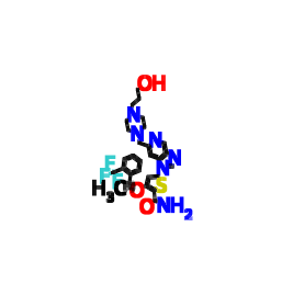 C[C@@H](Oc1cc(-n2cnc3cnc(CN4CCN(CCCO)CC4)cc32)sc1C(N)=O)c1ccccc1C(F)(F)F